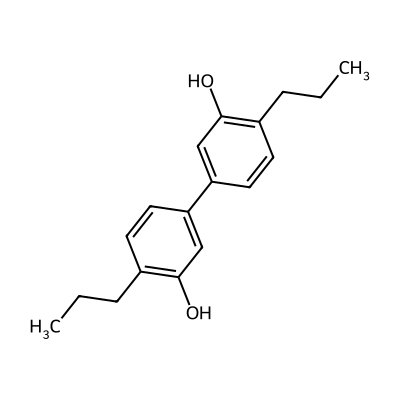 CCCc1ccc(-c2ccc(CCC)c(O)c2)cc1O